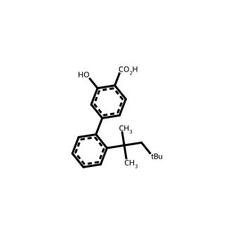 CC(C)(C)CC(C)(C)c1ccccc1-c1ccc(C(=O)O)c(O)c1